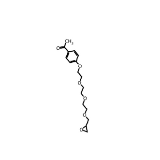 CC(=O)c1ccc(OCCOCCOCCOCC2CO2)cc1